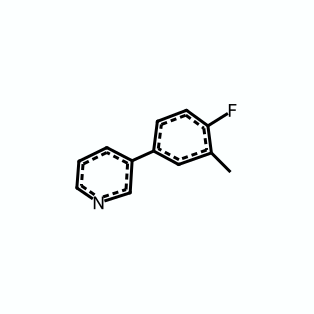 Cc1cc(-c2cccnc2)ccc1F